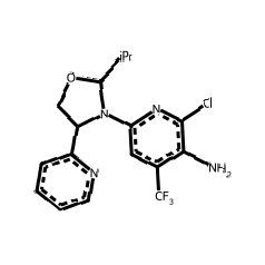 CC(C)C1OCC(c2ccccn2)N1c1cc(C(F)(F)F)c(N)c(Cl)n1